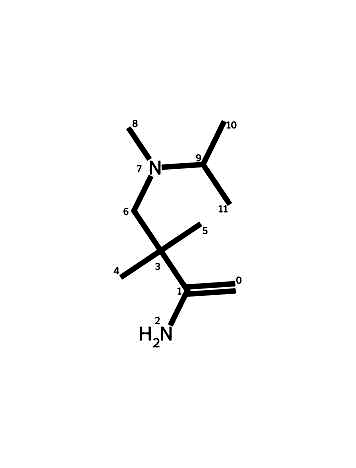 C=C(N)C(C)(C)CN(C)C(C)C